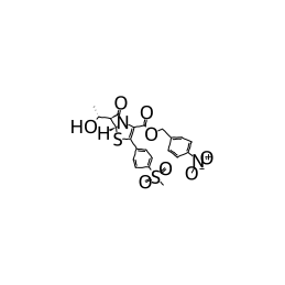 C[C@@H](O)[C@H]1C(=O)N2C(C(=O)OCc3ccc([N+](=O)[O-])cc3)=C(c3ccc(S(C)(=O)=O)cc3)S[C@H]12